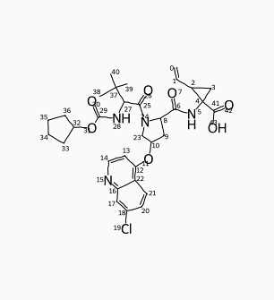 C=CC1CC1(NC(=O)C1CC(Oc2ccnc3cc(Cl)ccc23)CN1C(=O)C(NC(=O)OC1CCCC1)C(C)(C)C)C(=O)O